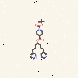 CC(C)(C)OC(=O)N1CCC(C(=O)OC(CCCc2cccnc2)CCCc2cccnc2)CC1